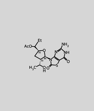 CCC(OC(C)=O)[C@@H]1C[C@@H](C(C)O)[C@H](n2c(=O)sc3c(=O)[nH]c(N)nc32)O1